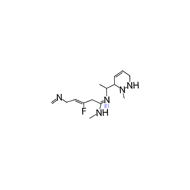 C=NCC=C(F)C/C(=N\C(C)C1C=CCNN1C)NC